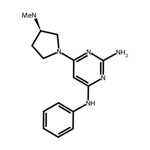 CN[C@@H]1CCN(c2cc(Nc3ccccc3)nc(N)n2)C1